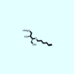 C=CCCCCO[C@@H](CO)[C@@H](O)CCCCCCCC